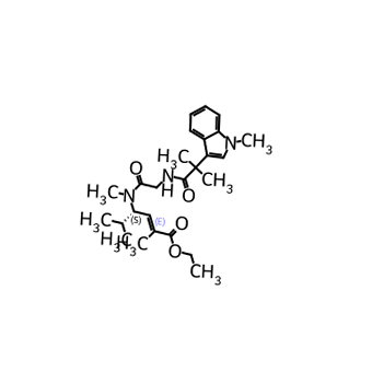 CCOC(=O)/C(C)=C/[C@H](C(C)C)N(C)C(=O)CNC(=O)C(C)(C)c1cn(C)c2ccccc12